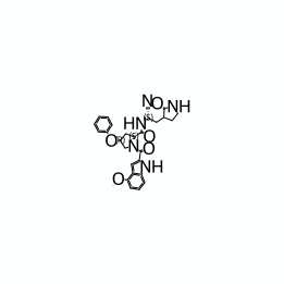 COc1cccc2[nH]c(C(=O)N3C[C@H](Oc4ccccc4)C[C@H]3C(=O)N[C@H](C#N)CC3CCNC3=O)cc12